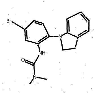 CN(C)C(=O)Nc1cc(Br)ccc1N1CCc2ccccc21